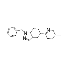 CC1CCC(C2CCC3C(C=NN3Cc3ccccc3)C2)=NC1